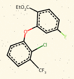 CCOC(=O)c1ccc(F)cc1Oc1cccc(C(F)(F)F)c1Cl